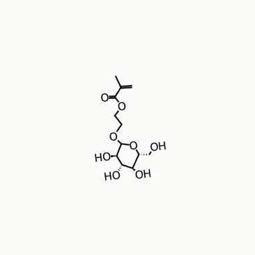 C=C(C)C(=O)OCCOC1O[C@H](CO)[C@@H](O)[C@H](O)[C@H]1O